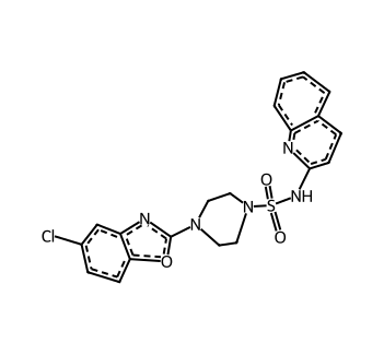 O=S(=O)(Nc1ccc2ccccc2n1)N1CCN(c2nc3cc(Cl)ccc3o2)CC1